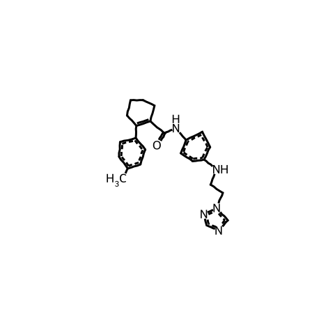 Cc1ccc(C2=C(C(=O)Nc3ccc(NCCn4cncn4)cc3)CCCC2)cc1